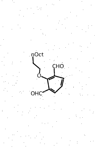 CCCCCCCCCCOc1c(C=O)cccc1C=O